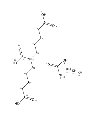 NC(O)=S.O=C(O)CCCCN(CCCCC(=O)O)C(O)=S.[KH].[KH].[KH]